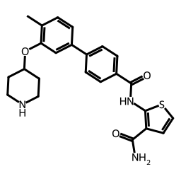 Cc1ccc(-c2ccc(C(=O)Nc3sccc3C(N)=O)cc2)cc1OC1CCNCC1